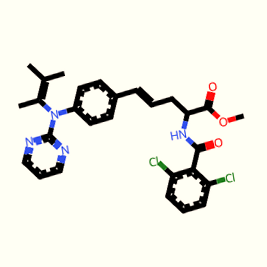 COC(=O)C(CC=Cc1ccc(N(C(C)=C(C)C)c2ncccn2)cc1)NC(=O)c1c(Cl)cccc1Cl